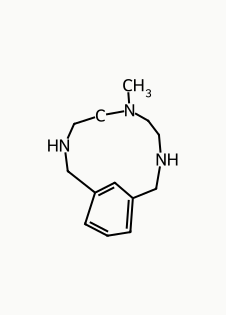 CN1CCNCc2cccc(c2)CNCC1